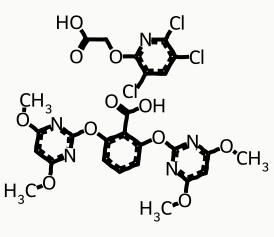 COc1cc(OC)nc(Oc2cccc(Oc3nc(OC)cc(OC)n3)c2C(=O)O)n1.O=C(O)COc1nc(Cl)c(Cl)cc1Cl